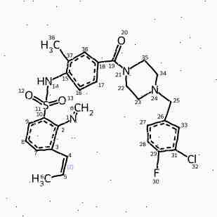 C=Nc1c(/C=C\C)cccc1S(=O)(=O)Nc1ccc(C(=O)N2CCN(Cc3ccc(F)c(Cl)c3)CC2)cc1C